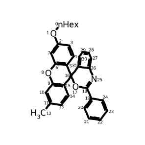 CCCCCCOc1ccc2c(c1)Oc1cc(C)ccc1C21OC(c2ccccc2)=Nc2ccccc21